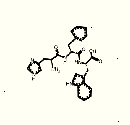 N[C@@H](Cc1c[nH]cn1)C(=O)N[C@@H](Cc1ccccc1)C(=O)N[C@@H](Cc1c[nH]c2ccccc12)C(=O)O